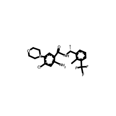 Cc1c([C@@H](C)NC(=O)c2cc(N3CCOCC3)c(Cl)cc2N)cccc1C(F)(F)F